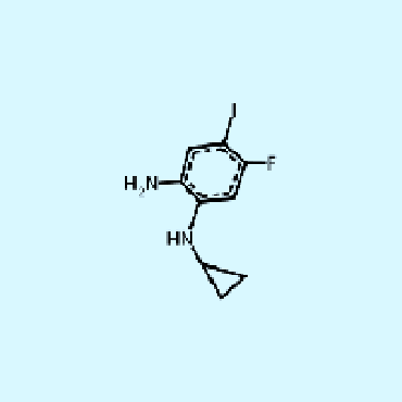 Nc1cc(I)c(F)cc1NC1CC1